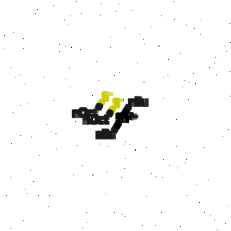 CCCCCCCC[S-].CCCCCCCC[S-].CCC[CH2][Sn+2][CH2]CCC